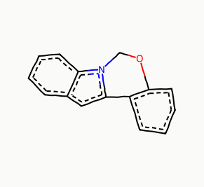 c1ccc2c(c1)OCn1c-2cc2ccccc21